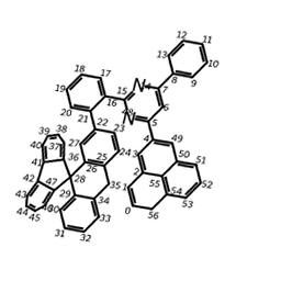 C1=Cc2cc(-c3cc(-c4ccccc4)nc(-c4ccccc4-c4ccc5c(c4)C4(c6ccccc6C5)c5ccccc5-c5ccccc54)n3)cc3cccc(c23)C1